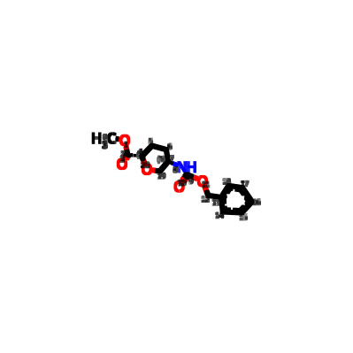 COC(=O)[C@@H]1CC[C@@H](NC(=O)OCc2ccccc2)CO1